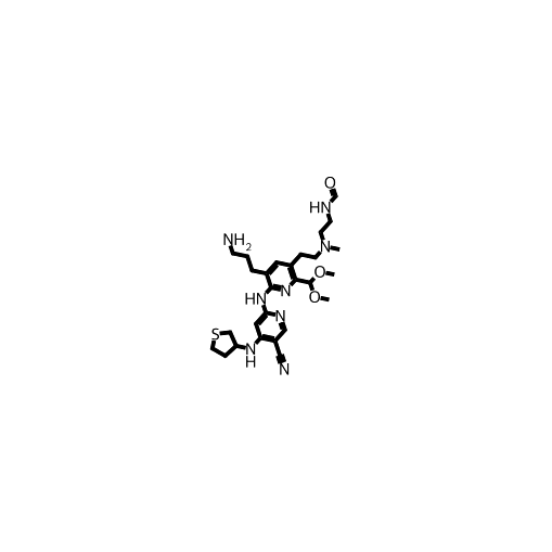 COC(OC)c1nc(Nc2cc(NC3CCSC3)c(C#N)cn2)c(CCCN)cc1CCN(C)CCNC=O